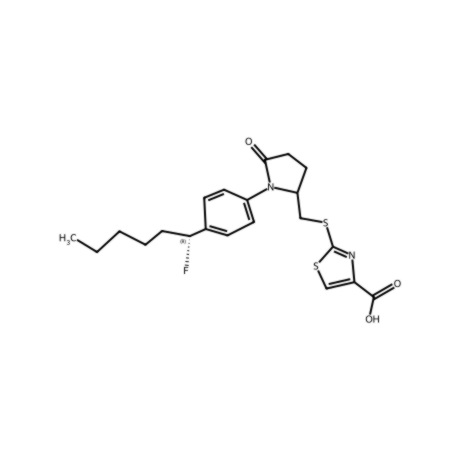 CCCCC[C@@H](F)c1ccc(N2C(=O)CCC2CSc2nc(C(=O)O)cs2)cc1